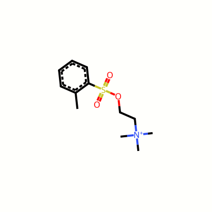 Cc1ccccc1S(=O)(=O)OCC[N+](C)(C)C